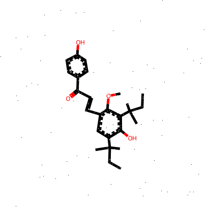 CCC(C)(C)c1cc(/C=C/C(=O)c2ccc(O)cc2)c(OC)c(C(C)(C)CC)c1O